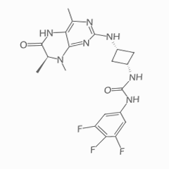 Cc1nc(N[C@H]2C[C@@H](NC(=O)Nc3cc(F)c(F)c(F)c3)C2)nc2c1NC(=O)[C@H](C)N2C